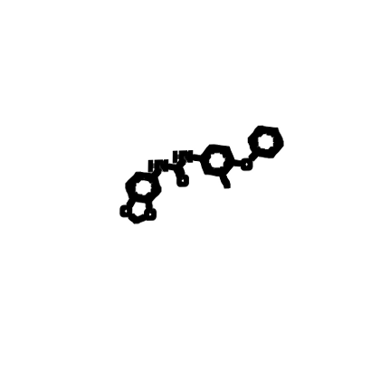 Cc1cc(NC(=O)Nc2ccc3c(c2)OCO3)ccc1Oc1ccccc1